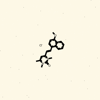 COc1ccc(/C=C/c2cc(C)[n+](C)c(=O)n2C)c2ccccc12.[Cl-]